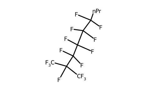 CCCC(F)(F)C(F)(F)C(F)(F)C(F)(F)C(F)(C(F)(F)F)C(F)(F)F